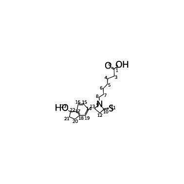 O=C(O)CCCCCCN1C(=S)C[C@@H]1c1ccc2c(c1)CCC2O